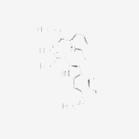 COC(=O)c1cccc(Cc2c(CC(C)C)[nH]c3cc(OC)c(Cl)cc23)n1